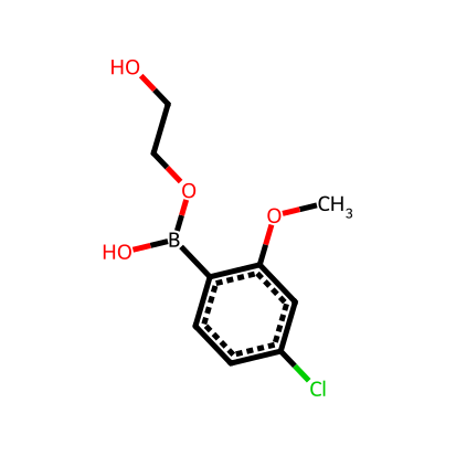 COc1cc(Cl)ccc1B(O)OCCO